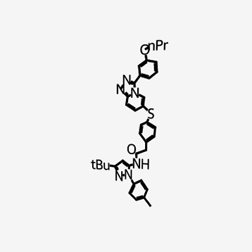 CCCOc1cccc(-c2nnc3ccc(Sc4ccc(CC(=O)Nc5cc(C(C)(C)C)nn5-c5ccc(C)cc5)cc4)cn23)c1